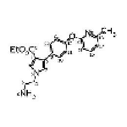 CCOC(=O)c1cn(CCN)cc1-c1ccc(Oc2cccc(C)n2)cc1